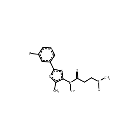 CCCN(C(=O)CC[S+](C)[O-])c1sc(-c2cncc(F)c2)nc1C